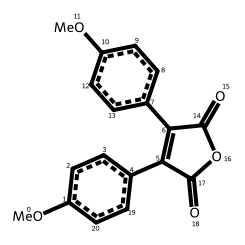 COc1ccc(C2=C(c3ccc(OC)cc3)C(=O)OC2=O)cc1